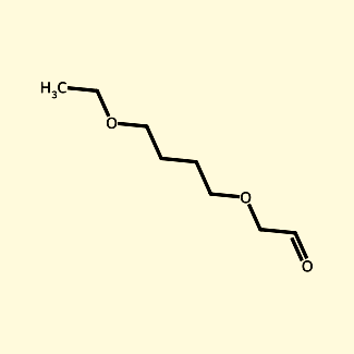 CCOCCCCOCC=O